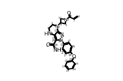 C=CC(=O)N1CC(N2CCNc3c2nn(-c2ccc(Oc4ccccc4)cc2)c3C(N)=O)C1